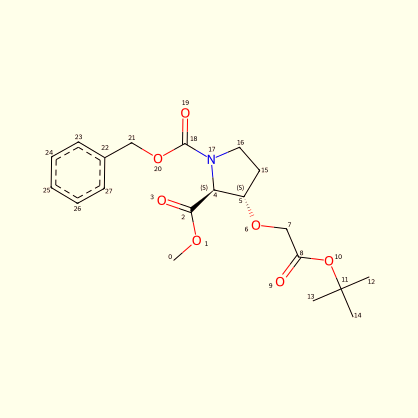 COC(=O)[C@@H]1[C@@H](OCC(=O)OC(C)(C)C)CCN1C(=O)OCc1ccccc1